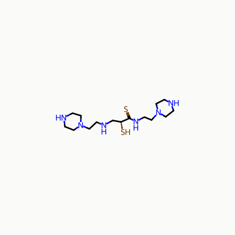 S=C(NCCN1CCNCC1)[C@@H](S)CNCCN1CCNCC1